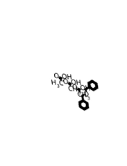 CC(=O)O.CC(=O)O.CC(=O)O.c1ccc(COCc2ccccc2)cc1